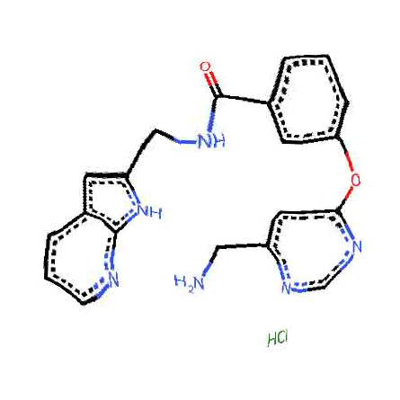 Cl.NCc1cc(Oc2cccc(C(=O)NCc3cc4cccnc4[nH]3)c2)ncn1